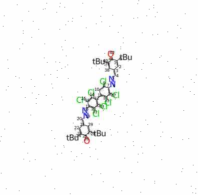 CC(C)(C)C1=CC(=C/N=N/c2c(Cl)cc(-c3c(Cl)c(Cl)c(/N=N/C=C4C=C(C(C)(C)C)C(=O)C(C(C)(C)C)=C4)c(Cl)c3Cl)c(Cl)c2Cl)C=C(C(C)(C)C)C1=O